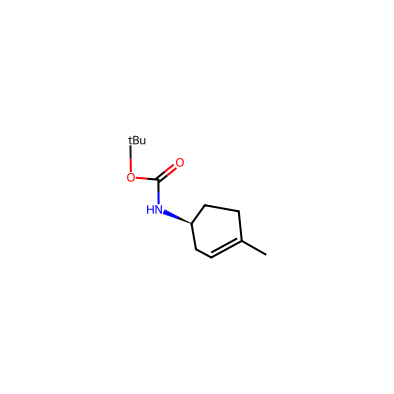 CC1=CC[C@@H](NC(=O)OC(C)(C)C)CC1